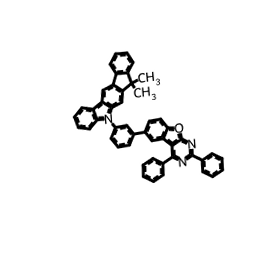 CC1(C)c2ccccc2-c2cc3c4ccccc4n(-c4cccc(-c5ccc6oc7nc(-c8ccccc8)nc(-c8ccccc8)c7c6c5)c4)c3cc21